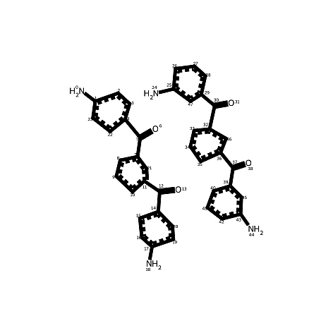 Nc1ccc(C(=O)c2cccc(C(=O)c3ccc(N)cc3)c2)cc1.Nc1cccc(C(=O)c2cccc(C(=O)c3cccc(N)c3)c2)c1